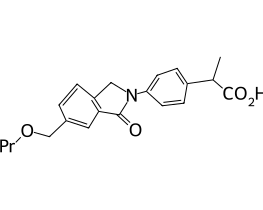 CC(C)OCc1ccc2c(c1)C(=O)N(c1ccc(C(C)C(=O)O)cc1)C2